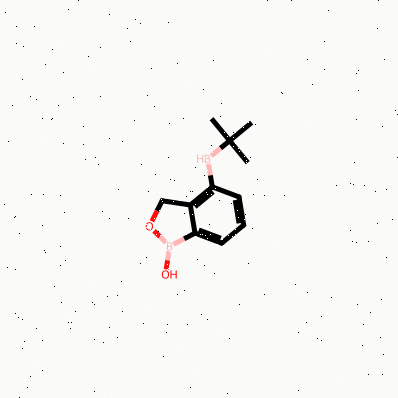 CC(C)(C)Bc1cccc2c1COB2O